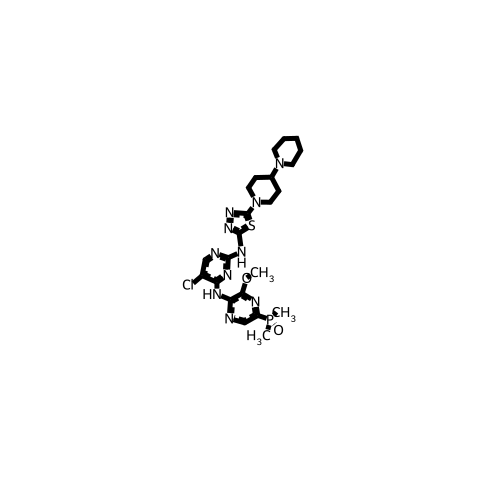 COc1nc(P(C)(C)=O)cnc1Nc1nc(Nc2nnc(N3CCC(N4CCCCC4)CC3)s2)ncc1Cl